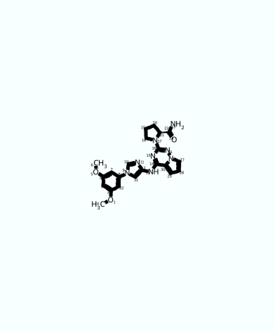 COc1cc(OC)cc(-n2cnc(Nc3nc(N4CCC[C@H]4C(N)=O)nn4cccc34)c2)c1